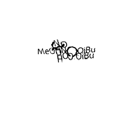 COc1ccnc(C(=O)N[C@H]2CCC[C@H](OCC(C)C)[C@@H](OCC(C)C)[C@H](C)OC2O)c1O